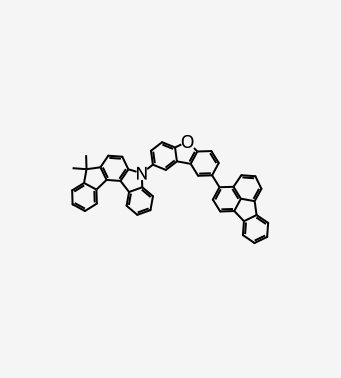 CC1(C)c2ccccc2-c2c1ccc1c2c2ccccc2n1-c1ccc2oc3ccc(-c4ccc5c6c(cccc46)-c4ccccc4-5)cc3c2c1